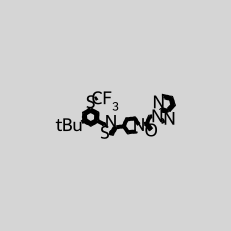 CC(C)(C)c1cc(SC(F)(F)F)cc(-c2nc(C3CCN(C(=O)Cn4cnc5cccnc54)CC3)cs2)c1